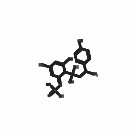 CC(CC(O)(O)C1C(O)=CC(O)=CC1=NP(=O)(O)O)c1ccc(O)cc1